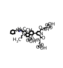 CCC[N+]1=C(/C=C/Nc2ccccc2)C(C)(C)c2c1cc(S(=O)(=O)O)c1cc(-c3cc(C(=O)NCCS(=O)(=O)O)nc(C(=O)NCCS(=O)(=O)O)c3)ccc21